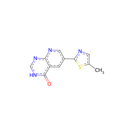 Cc1cnc(-c2cnc3nc[nH]c(=O)c3c2)s1